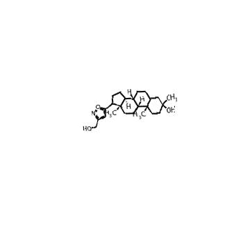 CC1(O)CC[C@@]2(C)C(CC[C@@H]3[C@H]2CC[C@]2(C)C(c4cc(CO)no4)CC[C@@H]32)C1